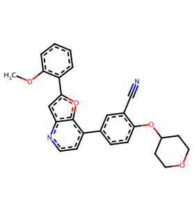 COc1ccccc1-c1cc2nccc(-c3ccc(OC4CCOCC4)c(C#N)c3)c2o1